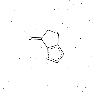 O=C1CCn2cccc21